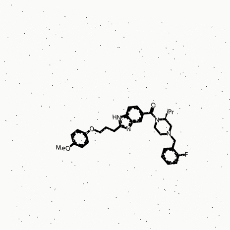 COc1ccc(OCCCc2nc3cc(C(=O)N4CCN(Cc5ccccc5F)C[C@@H]4C(C)C)ccc3[nH]2)cc1